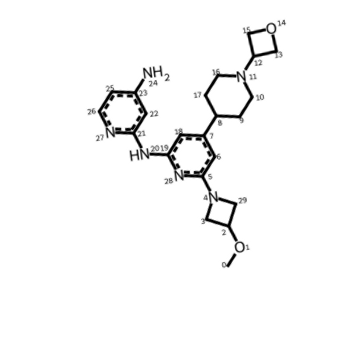 COC1CN(c2cc(C3CCN(C4COC4)CC3)cc(Nc3cc(N)ccn3)n2)C1